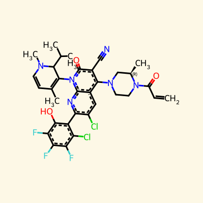 C=CC(=O)N1CCN(c2c(C#N)c(=O)n(C3=C(C)C=CN(C)C3C(C)C)c3nc(-c4c(O)c(F)c(F)c(F)c4Cl)c(Cl)cc23)C[C@H]1C